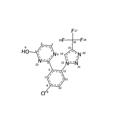 Oc1ccnc(-c2cc(Cl)ccc2-n2cc(C(F)(F)F)nn2)n1